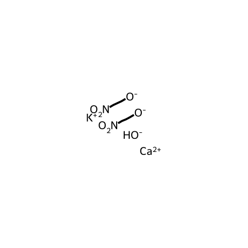 O=[N+]([O-])[O-].O=[N+]([O-])[O-].[Ca+2].[K+].[OH-]